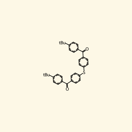 CC(C)(C)c1ccc(C(=O)c2ccc(Sc3ccc(C(=O)c4ccc(C(C)(C)C)cc4)cc3)cc2)cc1